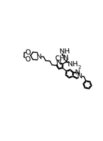 Cn1c(CCCCN2CCC3(CC2)OCCO3)cc(-c2ccc3cn(Cc4ccccc4)nc3c2)c1/C(N)=N\C=N